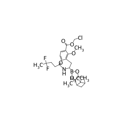 COc1c(CC(NC(=O)CCC(C)(F)F)B2OC3CC4CC(C4(C)C)C3(C)O2)cccc1C(=O)OCCl